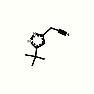 CC(C)(C)c1cc(CC#N)n[nH]1